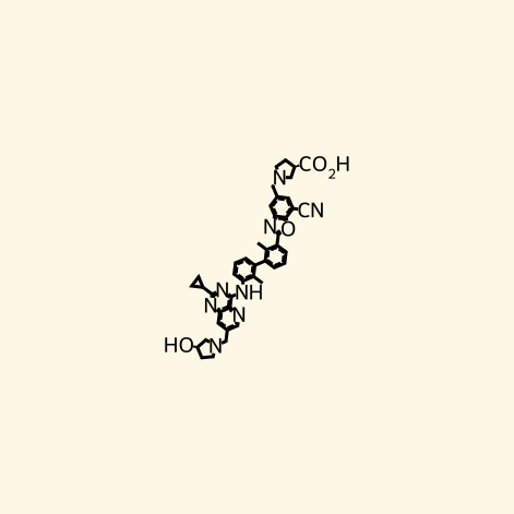 Cc1c(Nc2nc(C3CC3)nc3cc(CN4CC[C@@H](O)C4)cnc23)cccc1-c1cccc(-c2nc3cc(CN4CC[C@@H](C(=O)O)C4)cc(C#N)c3o2)c1C